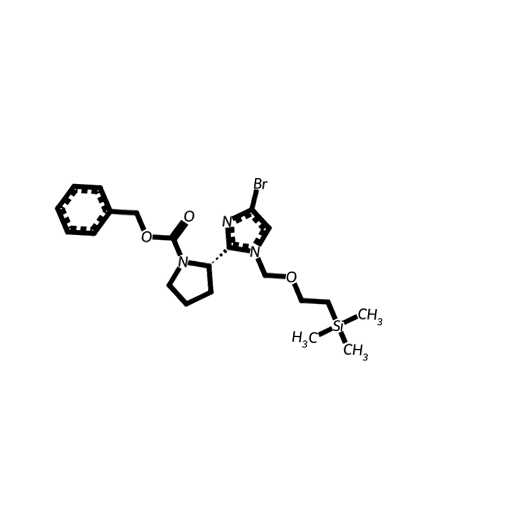 C[Si](C)(C)CCOCn1cc(Br)nc1[C@@H]1CCCN1C(=O)OCc1ccccc1